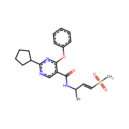 CC(C)C(C=CS(C)(=O)=O)NC(=O)c1cnc(C2CCCC2)nc1Oc1ccccc1